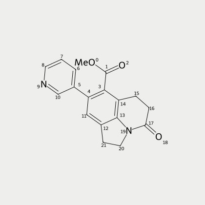 COC(=O)c1c(-c2cccnc2)cc2c3c1CCC(=O)N3CC2